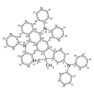 CC1(C)c2cc(N(c3ccccc3)c3ccccc3)ccc2-c2cc3c(N(c4ccccc4)c4ccccc4)c4ccccc4c(N(c4ccccc4)c4ccccc4)c3cc21